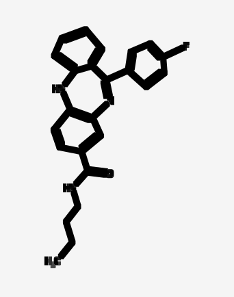 CCCCNC(=O)c1ccc2c(c1)N=C(c1ccc(F)cc1)c1ccccc1N2